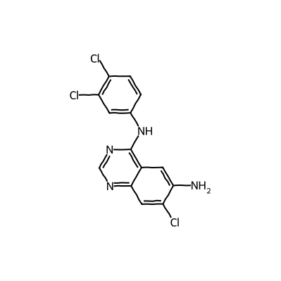 Nc1cc2c(Nc3ccc(Cl)c(Cl)c3)ncnc2cc1Cl